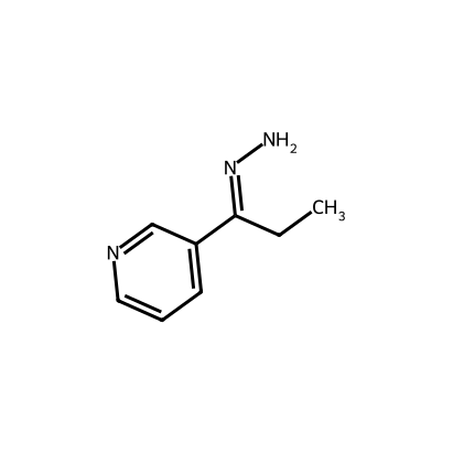 CCC(=NN)c1cccnc1